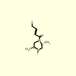 C[C@@H]1CN(I)[C@@H](C)CN1C(=O)/C=C/CF